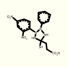 O=C(O)CCC1(S)NN(c2ccccc2)N(c2ccc([N+](=O)[O-])cc2[N+](=O)[O-])N1